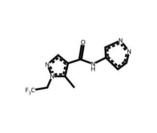 Cc1c(C(=O)Nc2ccnnc2)cnn1CC(F)(F)F